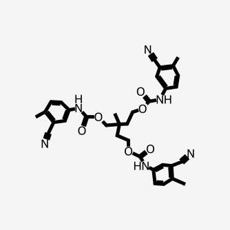 Cc1ccc(NC(=O)OCCC(C)(CCOC(=O)Nc2ccc(C)c(C#N)c2)COC(=O)Nc2ccc(C)c(C#N)c2)cc1C#N